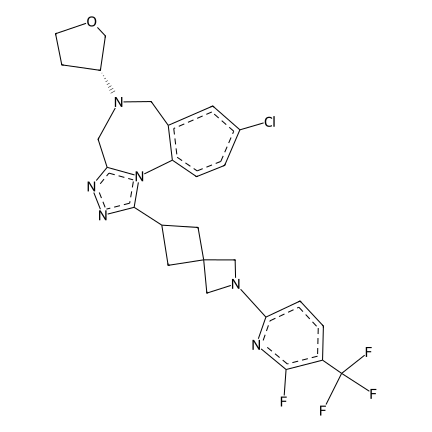 Fc1nc(N2CC3(CC(c4nnc5n4-c4ccc(Cl)cc4CN([C@@H]4CCOC4)C5)C3)C2)ccc1C(F)(F)F